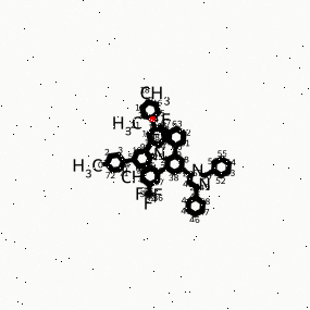 Cc1ccc(-c2ccc3c(c2)c2cc(-c4ccc(C)cc4C)ccc2n3-c2c(-c3cccc(C(F)(F)F)c3)cc(-c3cc(-c4ccccc4)nc(-c4ccccc4)n3)cc2-c2cccc(C(F)(F)F)c2)c(C)c1